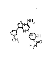 CN1CC(c2cnn3c(N)cc([C@H]4CC[C@@H](C(N)=O)NC4)nc23)C=N1